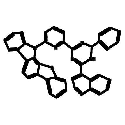 c1ccc(C2N=C(c3cccc(-n4c5ccccc5c5ccc6c7ccccc7sc6c54)n3)N=C(c3cccc4ccccc34)N2)cc1